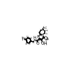 CC(=O)N1CCc2nc(C(=O)NCc3ccc(F)cc3)c(O)c(=O)n2CC1